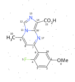 COc1ccc(F)c(-c2cc(C)n3cnc(C(=O)O)c3n2)c1